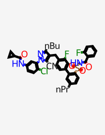 CCCCc1nn(-c2cc(NC(=O)C3CC3)ccc2Cl)c(C#N)c1Cc1ccc(-c2cc(CCC)ccc2S(=O)(=O)NC(=O)c2ccccc2F)cc1F